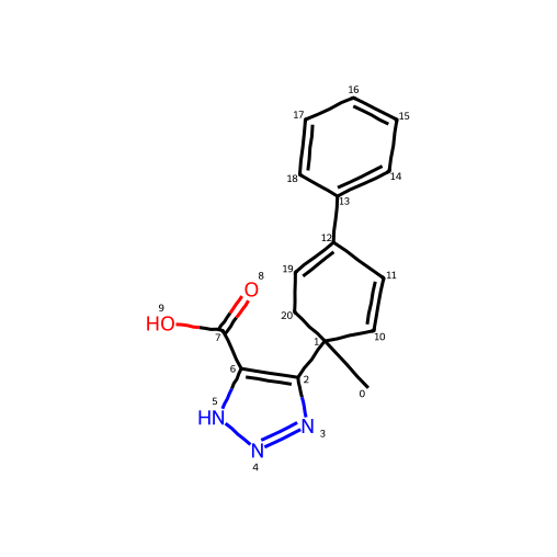 CC1(c2nn[nH]c2C(=O)O)C=CC(c2ccccc2)=CC1